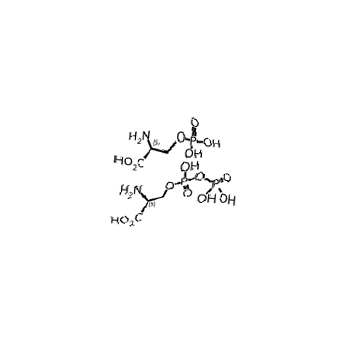 N[C@@H](COP(=O)(O)O)C(=O)O.N[C@@H](COP(=O)(O)OP(=O)(O)O)C(=O)O